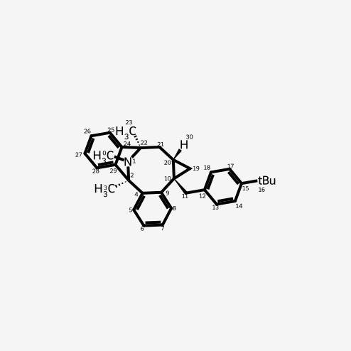 CN1[C@@]2(C)c3ccccc3[C@@]3(Cc4ccc(C(C)(C)C)cc4)C[C@H]3C[C@]1(C)c1ccccc12